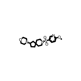 COc1ccc(S(=O)(=O)N2CCC3(CCC(N4CCOCC4)C3)CC2)cn1